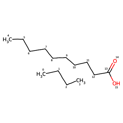 CCCC.CCCCCCCCCC(=O)O